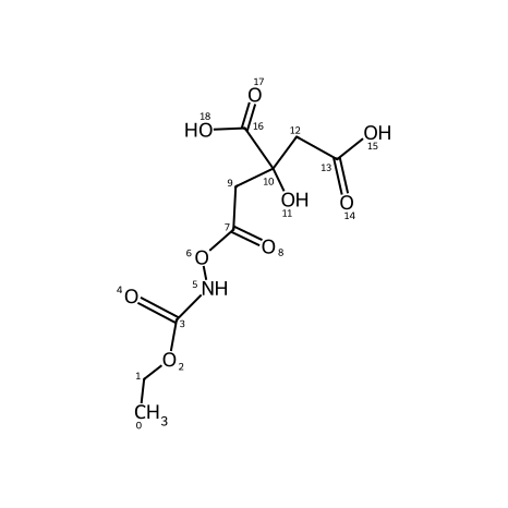 CCOC(=O)NOC(=O)CC(O)(CC(=O)O)C(=O)O